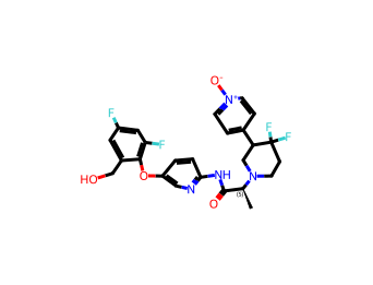 C[C@@H](C(=O)Nc1ccc(Oc2c(F)cc(F)cc2CO)cn1)N1CCC(F)(F)C(c2cc[n+]([O-])cc2)C1